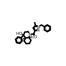 Cc1cc(C(=O)N2CCC(O)(c3ccccc3)[C@H]3CCCC[C@H]32)nn1Cc1ccccc1